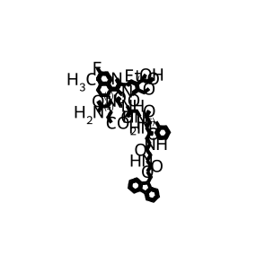 CC[C@@]1(O)C(=O)OCc2c1cc1n(c2=O)Cc2c-1nc1cc(F)c(C)c3c1c2[C@@H](N(C(=O)CNC(=O)CNC(=O)[C@H](Cc1ccccc1)NC(=O)CNC(=O)CNC(=O)OCC1c2ccccc2-c2ccccc21)[C@@H](CCC(=O)O)C(N)=O)CC3